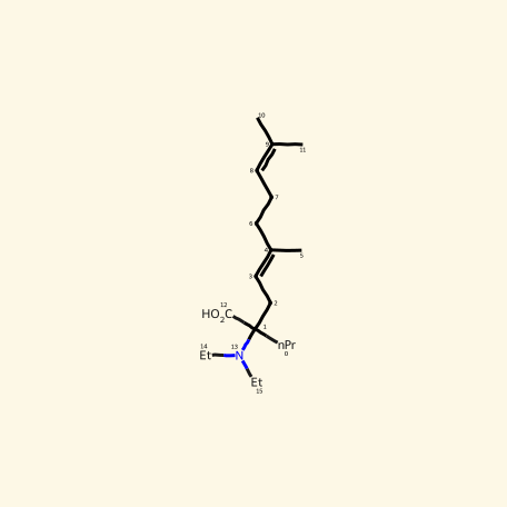 CCCC(C/C=C(\C)CCC=C(C)C)(C(=O)O)N(CC)CC